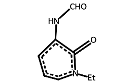 CCn1cccc(NC=O)c1=O